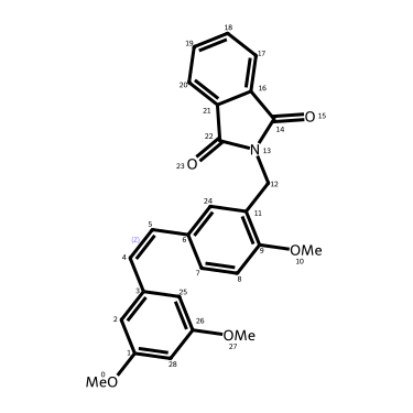 COc1cc(/C=C\c2ccc(OC)c(CN3C(=O)c4ccccc4C3=O)c2)cc(OC)c1